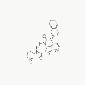 O=C(N[C@@H]1CCCNC1)c1sc2nccc3c2c1NC(=O)N3c1ccc2ccccc2c1